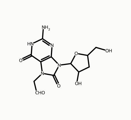 Nc1nc2c(c(=O)[nH]1)n(CC=O)c(=O)n2C1OC(CO)CC1O